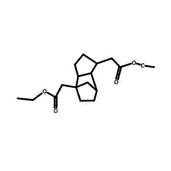 CCOC(=O)CC1CCC2C1C1CCC2(CC(=O)OCC)C1